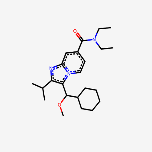 CCN(CC)C(=O)c1ccn2c(C(OC)C3CCCCC3)c(C(C)C)nc2c1